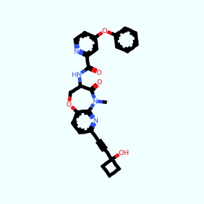 CN1C(=O)C(NC(=O)c2cc(Oc3ccccc3)ccn2)COc2ccc(C#CC3(O)CCC3)nc21